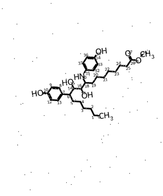 CCCCCCC(c1ccc(O)cc1)C(O)C(O)C(CCCCCCCC(=O)OC)Nc1ccc(O)cc1